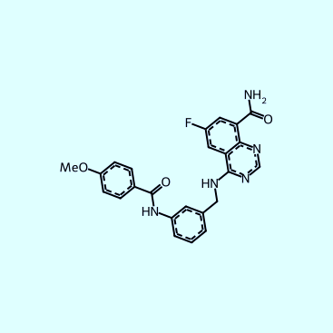 COc1ccc(C(=O)Nc2cccc(CNc3ncnc4c(C(N)=O)cc(F)cc34)c2)cc1